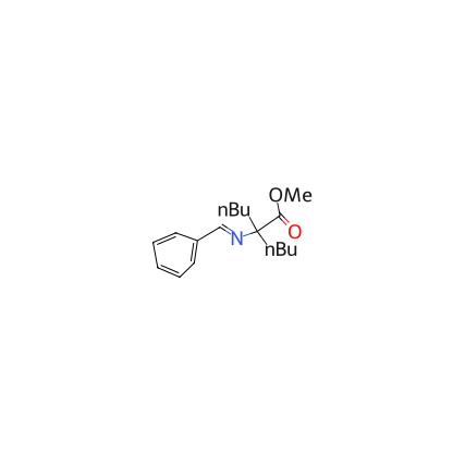 CCCCC(CCCC)(N=Cc1ccccc1)C(=O)OC